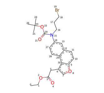 CCOC(=O)Cc1coc2ccc3cc(N(CCCBr)C(=O)OC(C)(C)C)ccc3c12